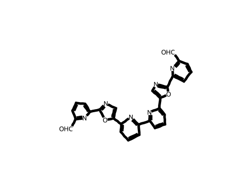 O=Cc1cccc(-c2ncc(-c3cccc(-c4cccc(-c5cnc(-c6cccc(C=O)n6)o5)n4)n3)o2)n1